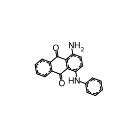 Nc1ccc(Nc2ccccc2)c2c1C(=O)c1ccccc1C2=O